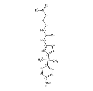 CCN(CC)CCCNC(=O)Nc1nc(C(C)(C)c2ccc(OC)cc2)cs1